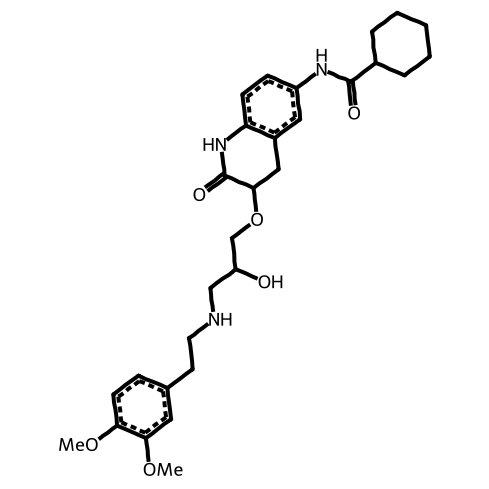 COc1ccc(CCNCC(O)COC2Cc3cc(NC(=O)C4CCCCC4)ccc3NC2=O)cc1OC